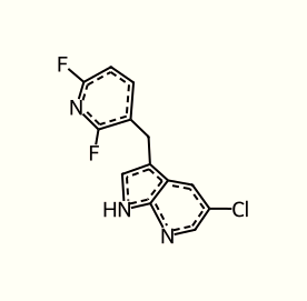 Fc1ccc(Cc2c[nH]c3ncc(Cl)cc23)c(F)n1